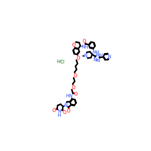 CN1CCC(Nc2cccc(C(=O)N[C@@H]3CCOc4ccc(OCCCCCOCCCOCC(=O)Nc5cccc6c5CN(C5CCC(=O)NC5=O)C6=O)cc43)c2)(c2nnc(-c3ccncc3)[nH]2)CC1.Cl